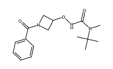 CN(C(=O)NOC1CN(C(=O)c2ccccc2)C1)C(C)(C)C